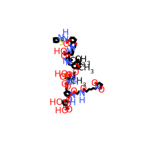 Cc1c(-c2ccc(N3CCc4cccc(C(=O)Nc5nc6ccccc6s5)c4C3)nc2C(=O)O)cnn1CC12CC3(OCCN(C)C(=O)[C@H](CS(=O)(=O)O)NC(=O)OCc4ccc(O[C@H]5C[C@@H](O)C[C@@H](C(=O)O)O5)c(NC(=O)CCNC(=O)CCCCCN5C(=O)C=CC5=O)c4)CC4(C)CC(C)(C1)C4(C2)C3